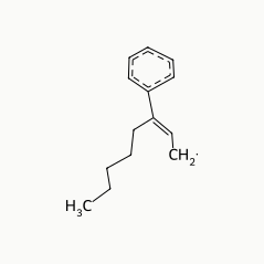 [CH2]C=C(CCCCC)c1ccccc1